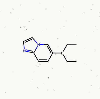 CCB(CC)c1ccc2nccn2c1